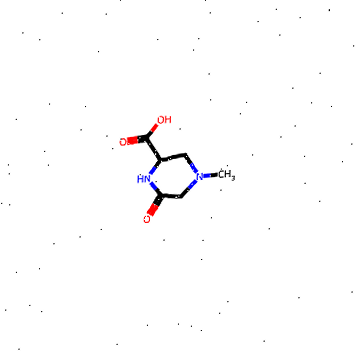 CN1CC(=O)NC(C(=O)O)C1